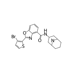 CN1C2CCCC1CC(NC(=O)c1cccc3oc(-c4sccc4Br)nc13)C2